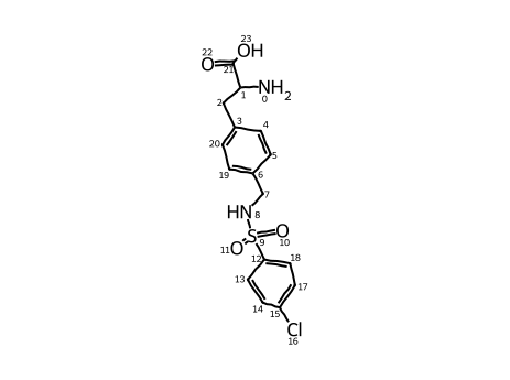 NC(Cc1ccc(CNS(=O)(=O)c2ccc(Cl)cc2)cc1)C(=O)O